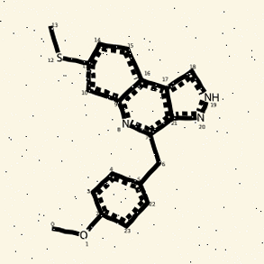 COc1ccc(Cc2nc3cc(SC)ccc3c3c[nH]nc23)cc1